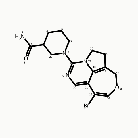 NC(=O)C1CCCN(C2=NC=C3C(Br)=COCC4=C3N2CC4)C1